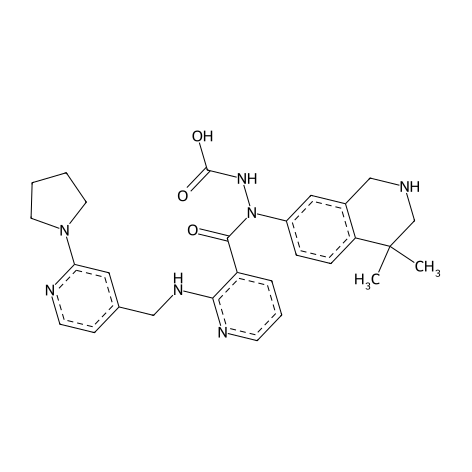 CC1(C)CNCc2cc(N(NC(=O)O)C(=O)c3cccnc3NCc3ccnc(N4CCCC4)c3)ccc21